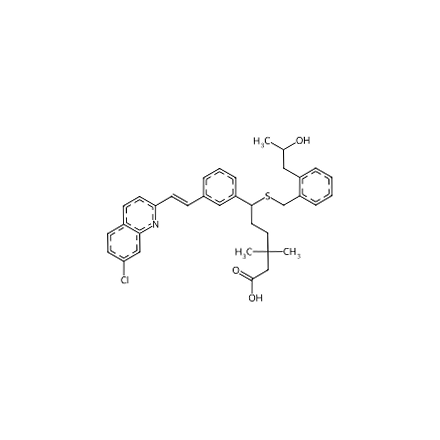 CC(O)Cc1ccccc1CSC(CCC(C)(C)CC(=O)O)c1cccc(C=Cc2ccc3ccc(Cl)cc3n2)c1